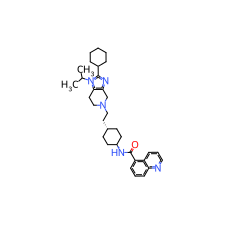 CC(C)n1c(C2CCCCC2)nc2c1CCN(CC[C@H]1CC[C@H](NC(=O)c3cccc4ncccc34)CC1)C2